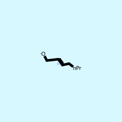 CCCC/C=C/C[O]